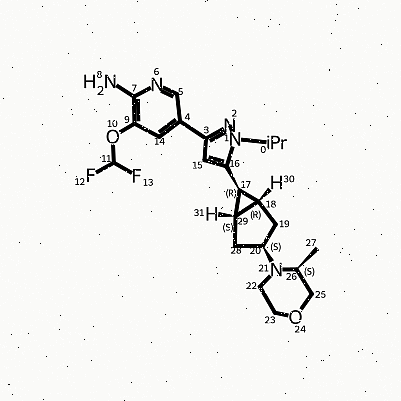 CC(C)n1nc(-c2cnc(N)c(OC(F)F)c2)cc1[C@H]1[C@@H]2C[C@@H](N3CCOC[C@@H]3C)C[C@@H]21